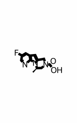 C[C@@H]1CN(C(=O)O)Cc2cc3cc(F)cnc3n21